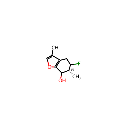 Cc1coc2c1CC(F)[C@H](C)C2O